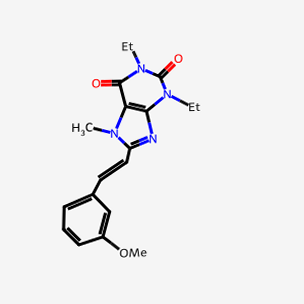 CCn1c(=O)c2c(nc(/C=C/c3cccc(OC)c3)n2C)n(CC)c1=O